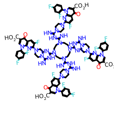 N=C(NC(=N)N1CCN(c2cc3c(cc2F)c(=O)c(C(=O)O)cn3-c2ccc(F)cc2F)CC1)N1CCN(C(=N)NC(=N)N2CCN(c3nc4c(cc3F)c(=O)c(C(=O)O)cn4-c3ccc(F)cc3F)CC2)CCN(C(=N)NC(=N)N2CCN(c3nc4c(cc3F)c(=O)c(C(=O)O)cn4-c3ccc(F)cc3F)CC2)CCN(C(=N)NC(=N)N2CCN(c3nc4c(cc3F)c(=O)c(C(=O)O)cn4-c3ccc(F)cc3F)CC2)CC1